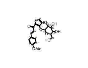 COc1ccc(/C=C/C(=O)c2sccc2OC2OC(CO)C(O)C(O)C2O)cc1